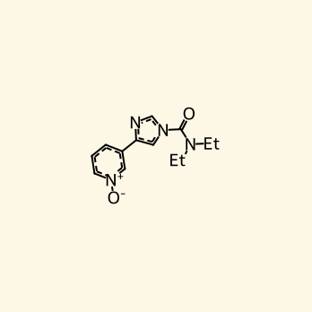 CCN(CC)C(=O)n1cnc(-c2ccc[n+]([O-])c2)c1